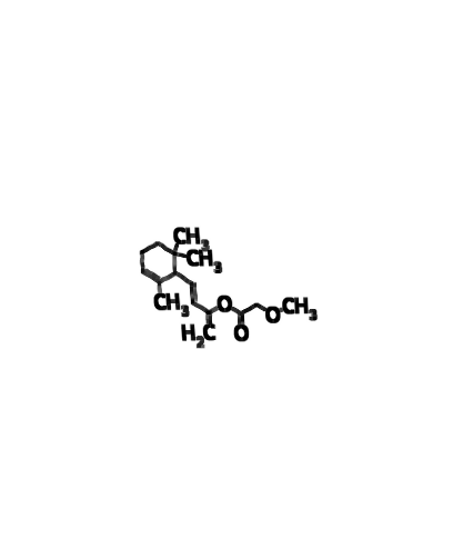 C=C(C=CC1C(C)=CCCC1(C)C)OC(=O)COC